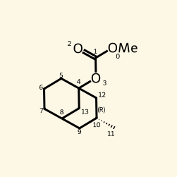 COC(=O)OC12CCCC(C[C@@H](C)C1)C2